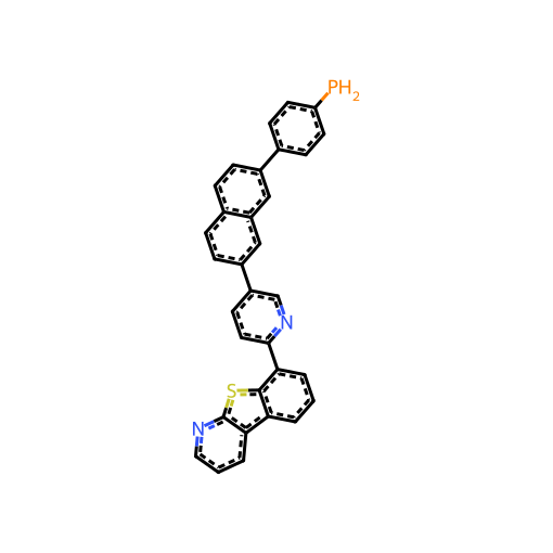 Pc1ccc(-c2ccc3ccc(-c4ccc(-c5cccc6c5sc5ncccc56)nc4)cc3c2)cc1